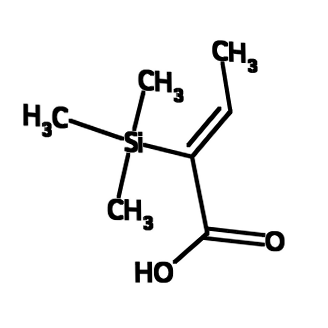 CC=C(C(=O)O)[Si](C)(C)C